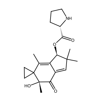 CC1=C2C(=CC(C)(C)[C@@H]2OC(=O)[C@@H]2CCCN2)C(=O)[C@](C)(O)C12CC2